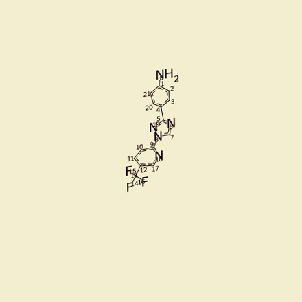 Nc1ccc(-c2ncn(-c3ccc(C(F)(F)F)cn3)n2)cc1